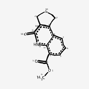 COC(=O)c1cccc2c3c(c(=O)[nH]c12)CSC3